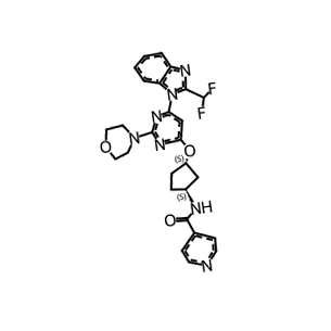 O=C(N[C@H]1CC[C@H](Oc2cc(-n3c(C(F)F)nc4ccccc43)nc(N3CCOCC3)n2)C1)c1ccncc1